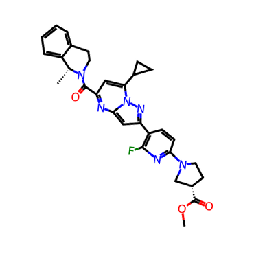 COC(=O)[C@H]1CCN(c2ccc(-c3cc4nc(C(=O)N5CCc6ccccc6[C@H]5C)cc(C5CC5)n4n3)c(F)n2)C1